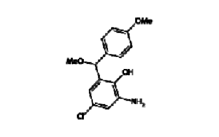 COc1ccc(C(OC)c2cc(Cl)cc(N)c2O)cc1